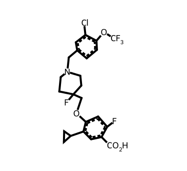 O=C(O)c1cc(C2CC2)c(OCC2(F)CCN(Cc3ccc(OC(F)(F)F)c(Cl)c3)CC2)cc1F